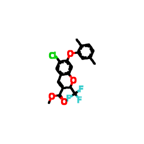 COC(=O)C1=Cc2cc(Cl)c(Oc3cc(C)ccc3C)cc2OC1C(F)(F)F